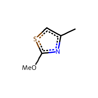 COc1nc(C)cs1